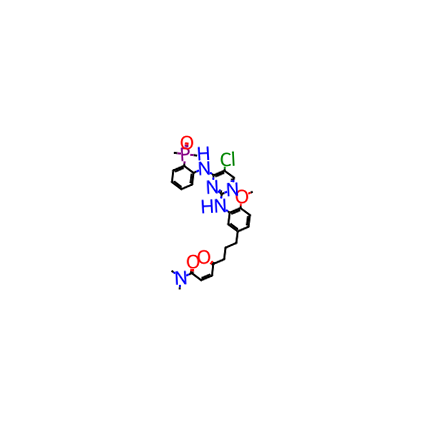 COc1ccc(CCCC(=O)/C=C\C(=O)N(C)C)cc1Nc1ncc(Cl)c(Nc2ccccc2P(C)(C)=O)n1